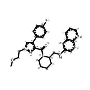 COCCn1cc(-c2ccc(F)cc2)c(C(=O)N2CCCCC2CNc2cnc3ncccc3n2)n1